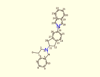 CCCN(Cc1ccccc1)C1Cc2ccc(-n3cc4ccccc4c3)cc2C1